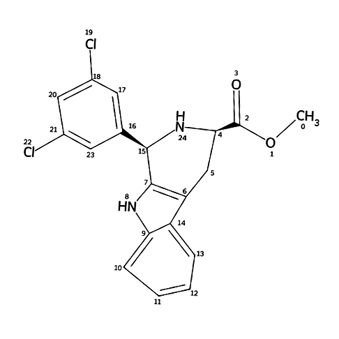 COC(=O)[C@H]1Cc2c([nH]c3ccccc23)[C@@H](c2cc(Cl)cc(Cl)c2)N1